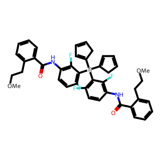 COCCc1ccccc1C(=O)Nc1ccc(F)[c]([Ti]([C]2=CC=CC2)([C]2=CC=CC2)[c]2c(F)ccc(NC(=O)c3ccccc3CCOC)c2F)c1F